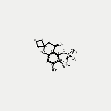 CC(C)c1cc2c(c(OS(=O)(=O)C(F)(F)F)c1C=O)C(=O)CC1(CCC1)O2